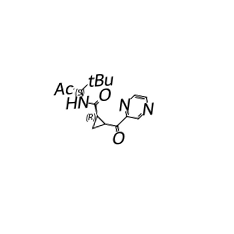 CC(=O)[C@@H](NC(=O)[C@@H]1CC1C(=O)c1cnccn1)C(C)(C)C